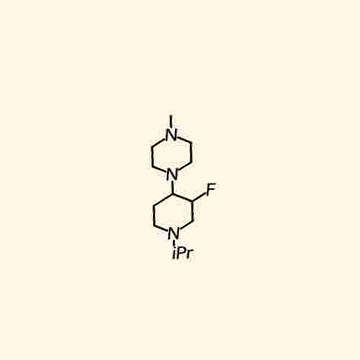 CC(C)N1CCC(N2CCN(C)CC2)C(F)C1